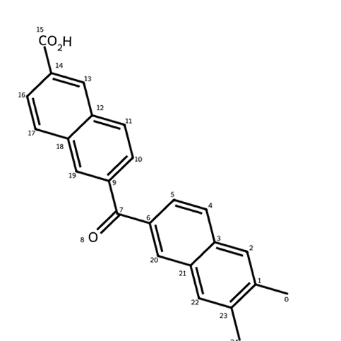 Cc1cc2ccc(C(=O)c3ccc4cc(C(=O)O)ccc4c3)cc2cc1C